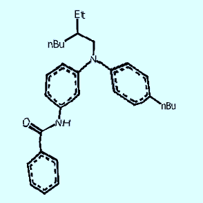 CCCCc1ccc(N(CC(CC)CCCC)c2cccc(NC(=O)c3ccccc3)c2)cc1